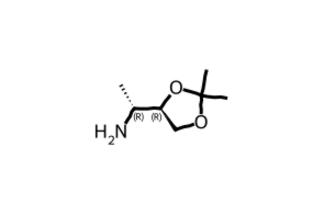 C[C@@H](N)[C@@H]1COC(C)(C)O1